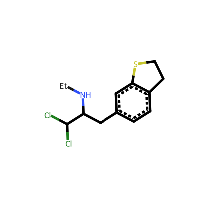 CCNC(Cc1ccc2c(c1)SCC2)C(Cl)Cl